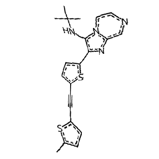 Cc1ccc(C#Cc2ccc(-c3nc4cnccn4c3NC(C)(C)C)s2)s1